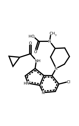 CN(C(=O)O)C1CCCN(c2c(Cl)cnc3[nH]cc(NC(=O)C4CC4)c23)C1